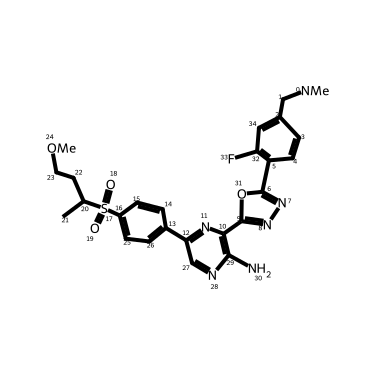 CNCc1ccc(-c2nnc(-c3nc(-c4ccc(S(=O)(=O)C(C)CCOC)cc4)cnc3N)o2)c(F)c1